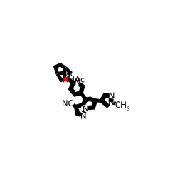 CCC1(NC(C)=O)C2CCC1CN(c1ccc(-c3cc(-c4cnn(C)c4)cn4ncc(C#N)c34)cn1)C2